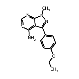 CCOc1ccc(-c2nn(C)c3ncnc(N)c23)cc1